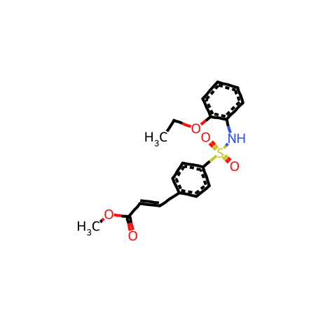 CCOc1ccccc1NS(=O)(=O)c1ccc(C=CC(=O)OC)cc1